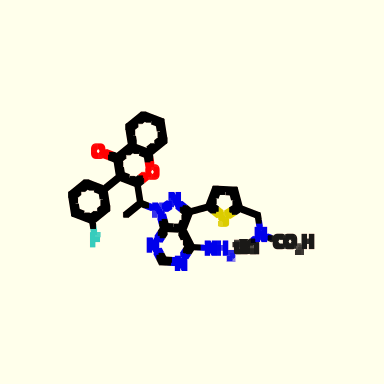 CC(c1oc2ccccc2c(=O)c1-c1cccc(F)c1)n1nc(-c2ccc(CN(C(=O)O)C(C)(C)C)s2)c2c(N)ncnc21